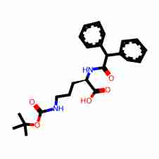 CC(C)(C)OC(=O)NCCC[C@@H](NC(=O)C(c1ccccc1)c1ccccc1)C(=O)O